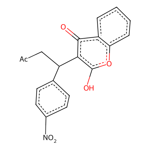 CC(=O)CC(c1ccc([N+](=O)[O-])cc1)c1c(O)oc2ccccc2c1=O